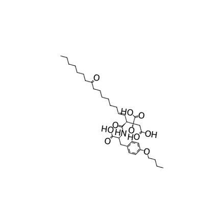 CCCCCCCC(=O)CCCCCC/C=C/[C@H](C(=O)NC(Cc1ccc(OCCCC)cc1)C(=O)O)[C@@](O)(CC(=O)O)C(=O)O